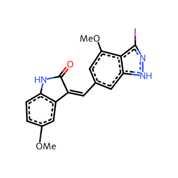 COc1ccc2c(c1)C(=Cc1cc(OC)c3c(I)n[nH]c3c1)C(=O)N2